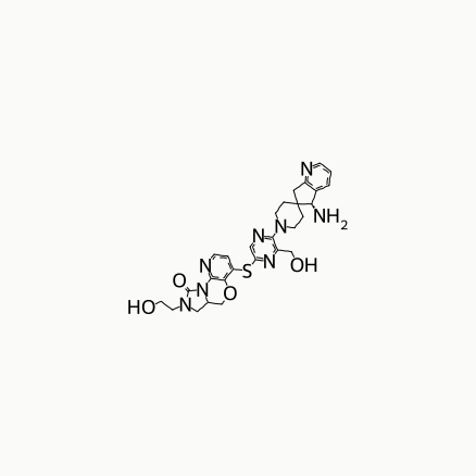 N[C@@H]1c2cccnc2CC12CCN(c1ncc(Sc3ccnc4c3OCC3CN(CCO)C(=O)N43)nc1CO)CC2